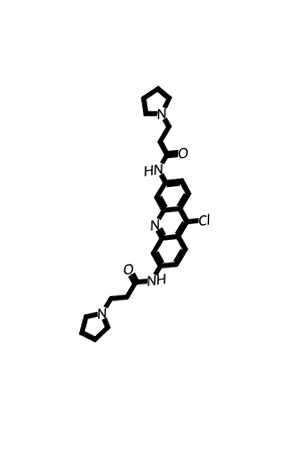 O=C(CCN1CCCC1)Nc1ccc2c(Cl)c3ccc(NC(=O)CCN4CCCC4)cc3nc2c1